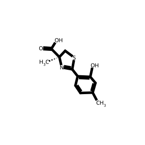 Cc1ccc(C2=N[C@@](C)(C(=O)O)CS2)c(O)c1